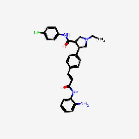 CCN1CC(C(=O)Nc2ccc(Cl)cc2)C(c2ccc(/C=C/C(=O)Nc3ccccc3N)cc2)C1